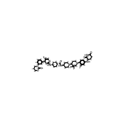 O=C1CCC(Nc2ccc(N3CCC(N4CCC(NC(=O)[C@H]5CC[C@H](Nc6ncc(F)c(-c7cccc(N8CCCOC8=O)c7)n6)CC5)CC4)C(F)(F)C3)c(F)c2)C(=O)N1